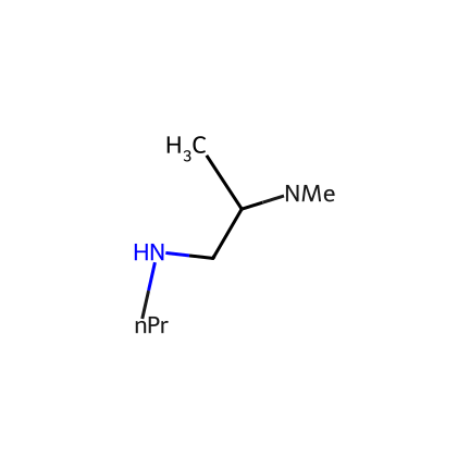 CCCNCC(C)NC